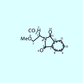 COCC(C(=O)O)N1C(=O)c2ccccc2C1=O